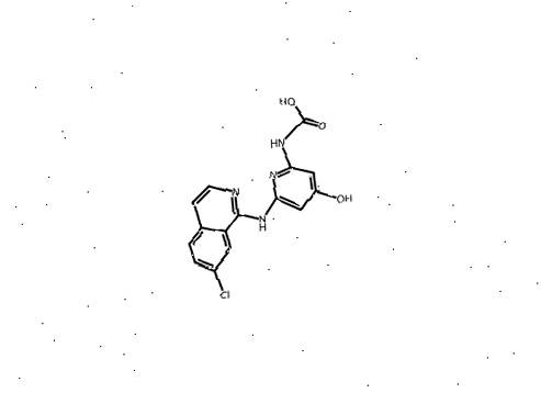 O=C(O)Nc1cc(O)cc(Nc2nccc3ccc(Cl)cc23)n1